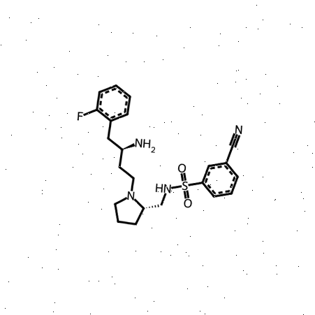 N#Cc1cccc(S(=O)(=O)NC[C@@H]2CCCN2CC[C@H](N)Cc2ccccc2F)c1